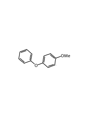 COc1[c]cc(Oc2ccccc2)cc1